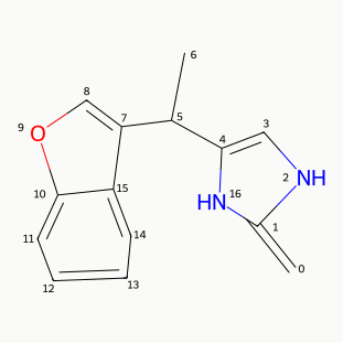 C=C1NC=C(C(C)c2coc3ccccc23)N1